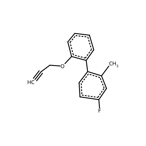 C#CCOc1[c]cccc1-c1ccc(F)cc1C